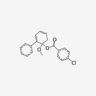 COC1(OC(=O)c2ccc(Cl)cc2)CC=CC=C1c1ccccc1